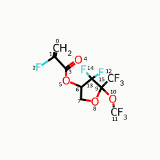 C=C(F)C(=O)OC1COC(OC(F)(F)F)(C(F)(F)F)C1(F)F